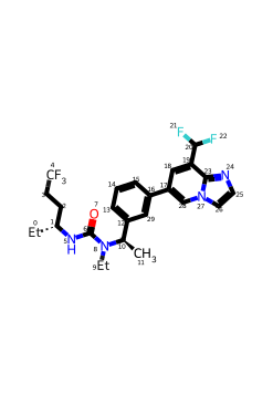 CC[C@H](CCC(F)(F)F)NC(=O)N(CC)[C@H](C)c1cccc(-c2cc(C(F)F)c3nccn3c2)c1